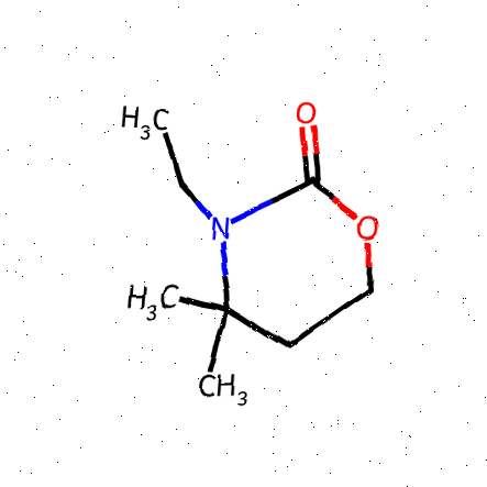 CCN1C(=O)OCCC1(C)C